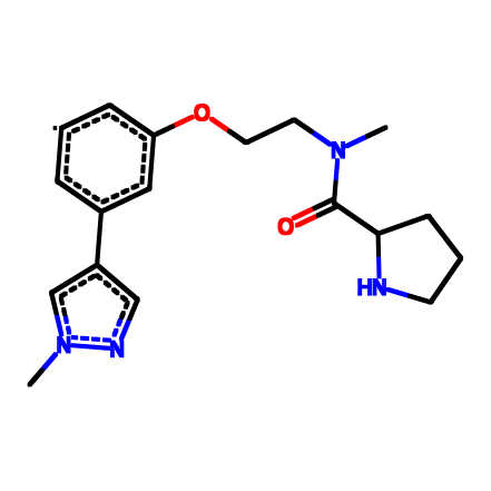 CN(CCOc1c[c]cc(-c2cnn(C)c2)c1)C(=O)C1CCCN1